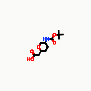 CC(C)(C)OC(=O)N[C@@H]1CC[C@@H](CC(=O)O)OC1